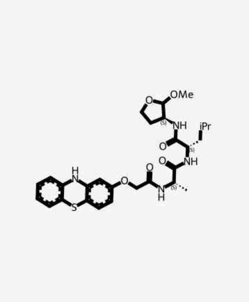 COC1OCC[C@@H]1NC(=O)[C@H](CC(C)C)NC(=O)[C@H](C)NC(=O)COc1ccc2c(c1)Nc1ccccc1S2